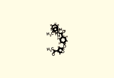 CC(=O)c1coc(Oc2ccc(C(=O)N[C@@H]3C4CCN(CC4)[C@H]3C)cc2)c1